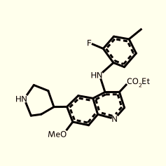 CCOC(=O)c1cnc2cc(OC)c(C3CCNCC3)cc2c1Nc1ccc(C)cc1F